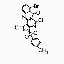 Cc1ccc(S(=O)(=O)n2ccc3c2nc(Cl)n2c(=O)c4c(Br)cccc4nc32)cc1.[Cl-].[H+]